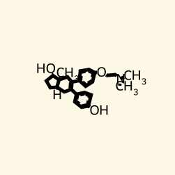 CN(C)CCOc1ccc(C2=C(c3ccc(O)cc3)C[C@@H]3CC[C@H](O)[C@@]3(C)C2)cc1